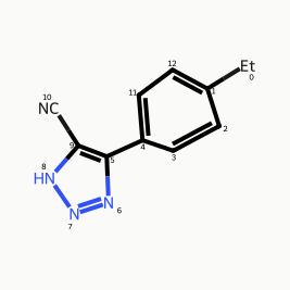 CCc1ccc(-c2nn[nH]c2C#N)cc1